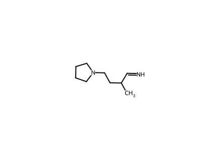 CC(C=N)CCN1CCCC1